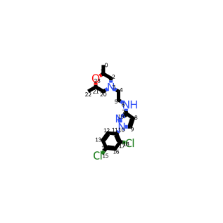 CC1CN(CCNc2ccn(-c3ccc(Cl)cc3Cl)n2)CC(C)O1